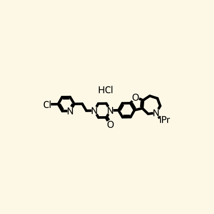 CC(C)N1CCCc2oc3cc(N4CCN(CCc5ccc(Cl)cn5)CC4=O)ccc3c2C1.Cl